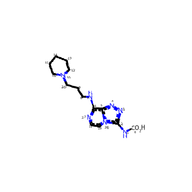 O=C(O)Nc1nnc2c(NCCCN3CCCCC3)nccn12